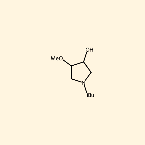 CCC(C)N1CC(O)C(OC)C1